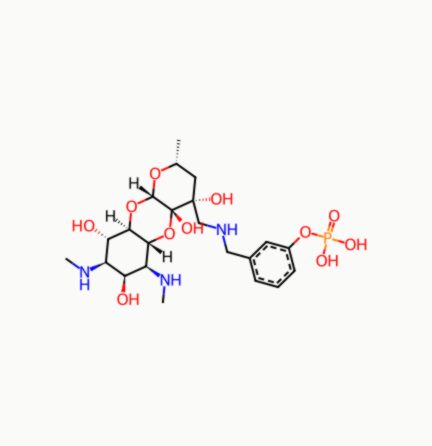 CN[C@@H]1[C@H](O)[C@H](NC)[C@H]2O[C@]3(O)[C@H](O[C@@H]2[C@H]1O)O[C@H](C)C[C@@]3(O)CNCc1cccc(OP(=O)(O)O)c1